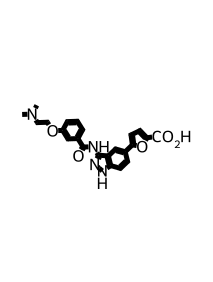 CN(C)CCOc1cccc(C(=O)Nc2n[nH]c3ccc(-c4ccc(C(=O)O)o4)cc23)c1